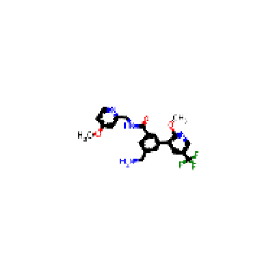 COc1ccnc(CNC(=O)c2cc(CN)cc(-c3cc(C(F)(F)F)cnc3OC)c2)c1